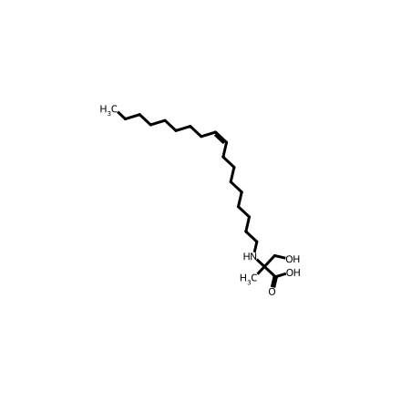 CCCCCCCC/C=C\CCCCCCCCNC(C)(CO)C(=O)O